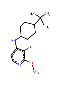 COc1nccc(NC2CCC(C(C)(C)C)CC2)c1Br